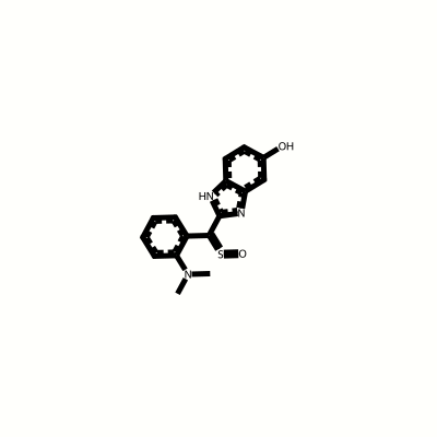 CN(C)c1ccccc1C(=S=O)c1nc2cc(O)ccc2[nH]1